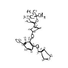 CC(C)(C)OC(=O)N1CC(Oc2cc(Cl)ccc2OCC2CCOC2)C1